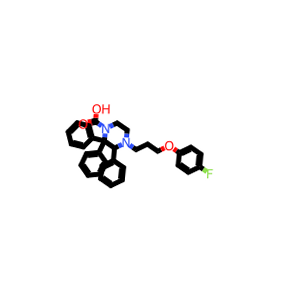 O=C(O)N1CCN(CCCOc2ccc(F)cc2)C(c2ccccc2)C1(c1ccccc1)c1ccccc1